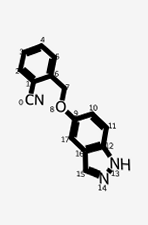 N#Cc1ccccc1COc1ccc2[nH]ncc2c1